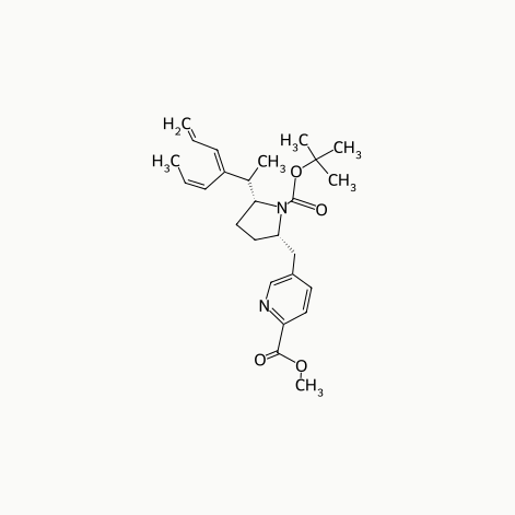 C=C/C=C(\C=C/C)C(C)[C@H]1CC[C@@H](Cc2ccc(C(=O)OC)nc2)N1C(=O)OC(C)(C)C